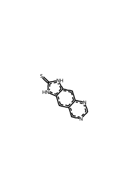 S=c1[nH]c2cc3cncnc3cc2[nH]1